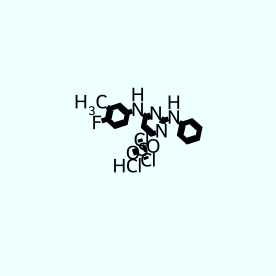 Cc1cc(Nc2ccnc(Nc3ccccc3)n2)ccc1F.Cl.O=S(=O)(Cl)Cl